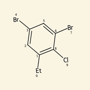 CCc1cc(Br)cc(Br)c1Cl